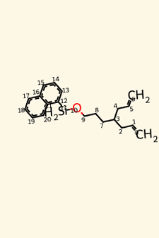 C=CCC(CC=C)CCCO[SiH2]c1cccc2ccccc12